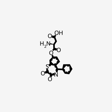 N[C@@H](CC(=O)O)C(=O)Oc1ccc2c(-c3ccccc3)nc(=O)c(=O)sc2c1